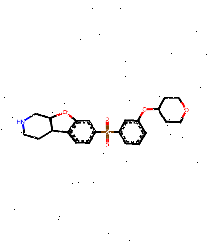 O=S(=O)(c1cccc(OC2CCOCC2)c1)c1ccc2c(c1)OC1CNCCC21